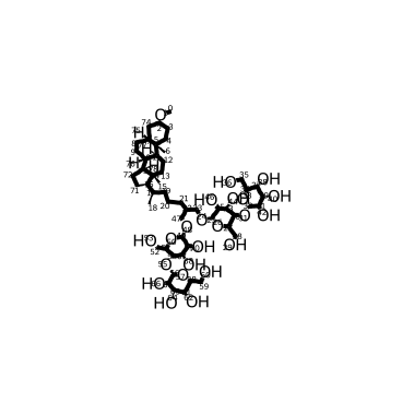 CO[C@@H]1CC[C@@]2(C)[C@H](CC[C@@H]3[C@@H]2CC[C@]2(C)[C@@H]([C@H](C)CCCC(CO[C@@H]4OC(CO)C(O[C@@H]5OC(CO)[C@@H](O)[C@H](O)C5O)[C@H](O)C4O)CO[C@@H]4OC(CO)[C@@H](O[C@H]5OC(CO)[C@@H](O)[C@H](O)C5O)[C@H](O)C4O)CC[C@@H]32)C1